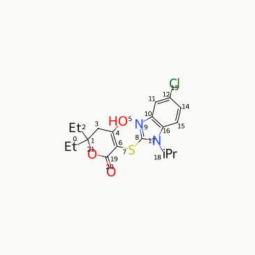 CCC1(CC)CC(O)=C(Sc2nc3cc(Cl)ccc3n2C(C)C)C(=O)O1